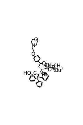 C[C@@H](O[Si](C)(C)C(C)(C)C)[C@H]1C(=O)N(C(C(=O)O)=P(c2ccccc2)(c2ccccc2)c2ccccc2)[C@@H]1CC(=O)c1ccc(OCCN2CCOCC2)cc1